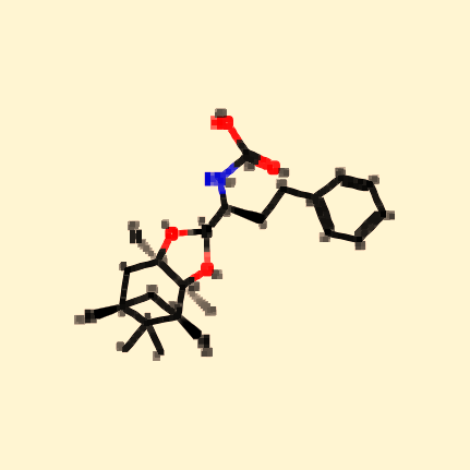 CC1(C)[C@@H]2C[C@H]3OB([C@H](CCc4ccccc4)NC(=O)O)O[C@@]3(C)[C@H]1C2